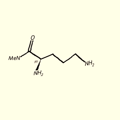 CNC(=O)[C@H](N)CCCN